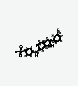 CS(=O)(=O)c1ccc(Nc2cc3[nH]c(-c4cccc(F)c4)cc3cn2)cc1